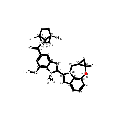 COc1cc(C(=O)N2C[C@H]3CC[C@@H]2[C@@H]3N)cc2nc(-c3cc4cccc(Br)c4n3CC3CC3(F)F)n(C)c12